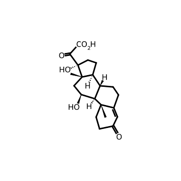 C[C@]12CCC(=O)C=C1CC[C@@H]1[C@@H]2[C@@H](O)C[C@@]2(C)[C@H]1CC[C@]2(O)C(=O)C(=O)O